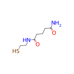 NC(=O)CCCC(=O)NCCS